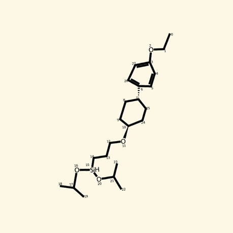 CCOc1ccc([C@H]2CC[C@H](OCCC[SiH](OC(C)C)OC(C)C)CC2)cc1